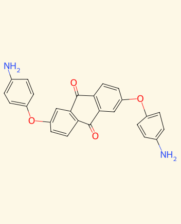 Nc1ccc(Oc2ccc3c(c2)C(=O)c2ccc(Oc4ccc(N)cc4)cc2C3=O)cc1